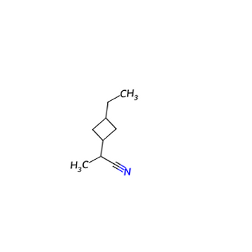 CCC1CC(C(C)C#N)C1